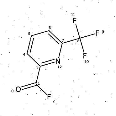 O=C(F)c1cccc(C(F)(F)F)n1